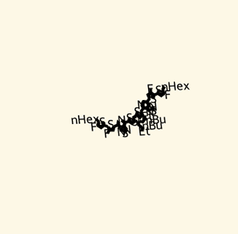 CCCCCCc1sc(-c2sc(-c3cnc(-c4cc5c(s4)-c4sc(-c6ncc(-c7cc(F)c(-c8cc(F)c(CCCCCC)s8)s7)c7nsnc67)cc4[Si]5(CC(CC)CCCC)CC(CC)CCCC)c4nsnc34)cc2F)cc1F